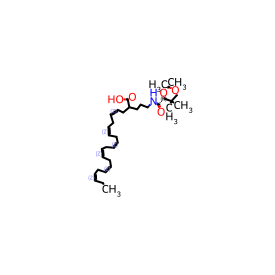 CC/C=C\C/C=C\C/C=C\C/C=C\C/C=C\C/C=C\CC(CCCNC(=O)[C@@H]1OC(C)(C)OCC1(C)C)C(=O)O